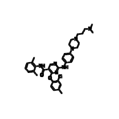 Cc1ccc(Oc2nc(Nc3ccc(N4CCN(CCCN(C)C)CC4)cc3)ncc2C(=O)Nc2c(C)cccc2C)c(Cl)c1